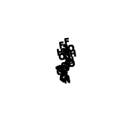 CCS(=O)(=O)N(Cc1cc(C(=O)NNC(=O)C(F)F)no1)c1cccnc1